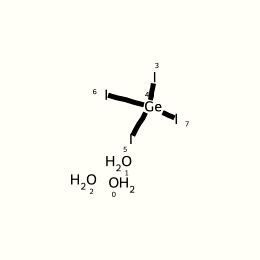 O.O.O.[I][Ge]([I])([I])[I]